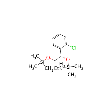 CC[C@H](O[Si](C)(C)C)[C@@H](O[Si](C)(C)C)c1ccccc1Cl